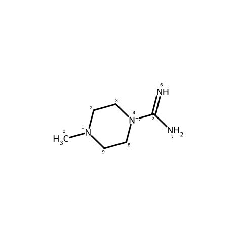 CN1CC[N+](C(=N)N)CC1